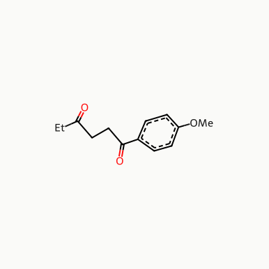 CCC(=O)CCC(=O)c1ccc(OC)cc1